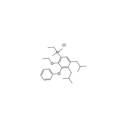 CCOc1c([N+](C)(C)CC)cc(CC(C)C)c(CC(C)C)c1Oc1ccccc1.[Cl-]